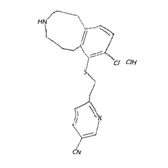 Cl.N#Cc1ccc(CSc2c(Cl)ccc3c2CCNCC3)nc1